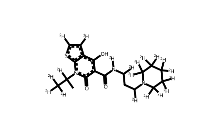 [2H]c1sc2c(c1[2H])c(O)c(C(=O)N([2H])C([2H])CC([2H])N1C([2H])([2H])C([2H])([2H])C([2H])([2H])C([2H])([2H])C1([2H])[2H])c(=O)n2C([2H])(C)C([2H])([2H])[2H]